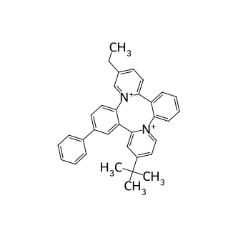 CCc1ccc2[n+](c1)-c1ccc(-c3ccccc3)cc1-c1cc(C(C)(C)C)cc[n+]1-c1ccccc1-2